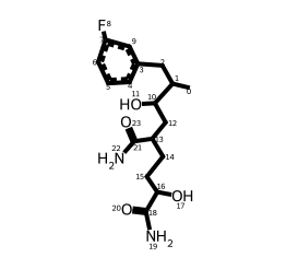 C[C](Cc1cccc(F)c1)C(O)CC(CCC(O)C(N)=O)C(N)=O